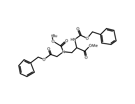 COC(=O)C(CN(CC(=O)OCc1ccccc1)C(=O)OC(C)(C)C)NC(=O)OCc1ccccc1